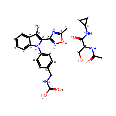 CC(=O)NC(CO)C(=O)NC1CC1.Cc1nc(-c2c(Cl)c3ccccc3n2-c2ccc(CNC(=O)O)cc2)no1